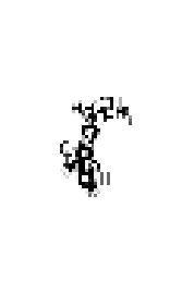 CCn1c(=O)n(C2CCC(=O)NC2=O)c2ccc(N3CCC(C(=O)OC(C)(C)C)CC3)cc21